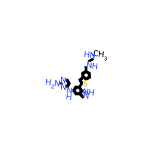 CNCCNCc1ccc2sc(-c3cc(Nc4ccnc(N)n4)cc4cn[nH]c34)cc2c1